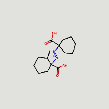 CC1CCCCC1(/N=N/C1(C(=O)O)CCCCC1)C(=O)O